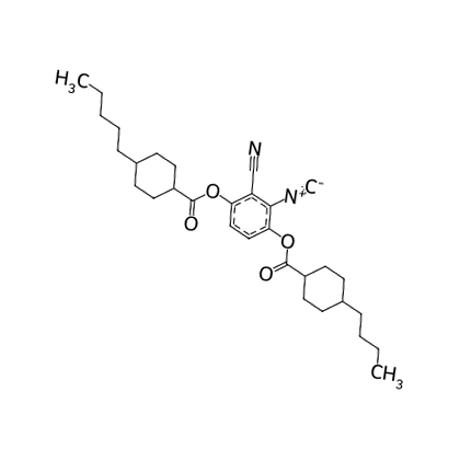 [C-]#[N+]c1c(OC(=O)C2CCC(CCCC)CC2)ccc(OC(=O)C2CCC(CCCCC)CC2)c1C#N